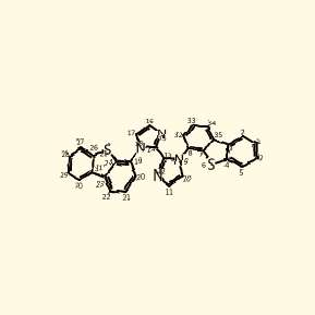 c1ccc2c(c1)sc1c(-n3ccnc3-c3nccn3-c3cccc4c3sc3ccccc34)cccc12